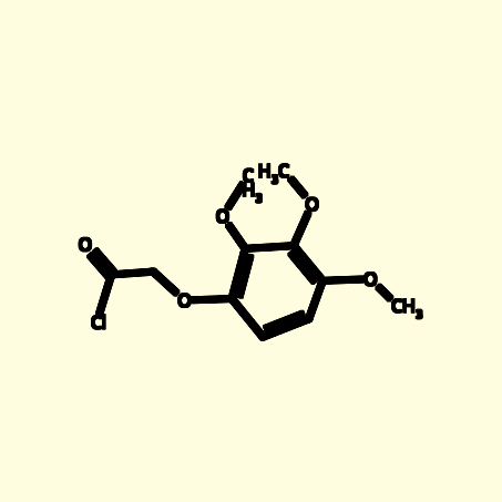 COc1ccc(OCC(=O)Cl)c(OC)c1OC